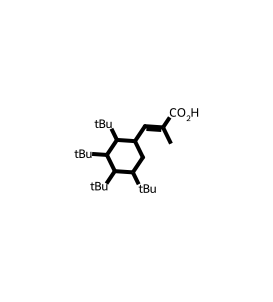 CC(=CC1CC(C(C)(C)C)C(C(C)(C)C)C(C(C)(C)C)C1C(C)(C)C)C(=O)O